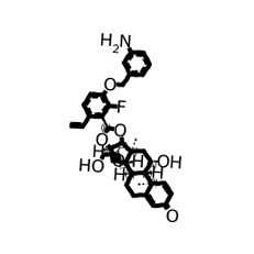 C=Cc1ccc(OCc2cccc(N)c2)c(F)c1[C@@H]1O[C@@H]2C[C@H]3[C@@H]4CCC5=CC(=O)C=C[C@]5(C)[C@H]4[C@@H](O)C[C@]3(C)[C@]2(C(=O)CO)O1